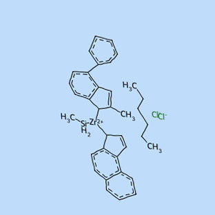 CCCCCC.C[SiH2][Zr+2]([CH]1C=Cc2c1ccc1ccccc21)[CH]1C(C)=Cc2c(-c3ccccc3)cccc21.[Cl-].[Cl-]